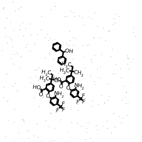 CCC(C)(C)c1ccc(Oc2ccc(C(F)(F)F)cc2N)c(C(=O)O)c1.CCC(C)(C)c1ccc(Oc2ccc(C(F)(F)F)cc2N)c(C(=O)O)c1.OC(c1ccccc1)c1ccccc1